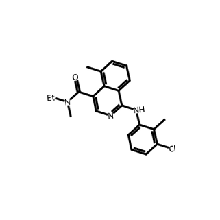 CCN(C)C(=O)c1cnc(Nc2cccc(Cl)c2C)c2cccc(C)c12